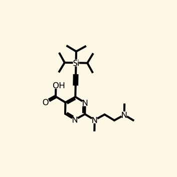 CC(C)[Si](C#Cc1nc(N(C)CCN(C)C)ncc1C(=O)O)(C(C)C)C(C)C